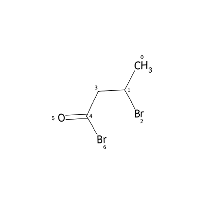 CC(Br)CC(=O)Br